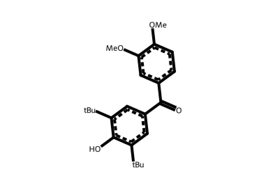 COc1ccc(C(=O)c2cc(C(C)(C)C)c(O)c(C(C)(C)C)c2)cc1OC